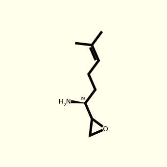 CC(C)=CCC[C@H](N)C1CO1